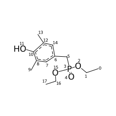 CCOP(=O)(Cc1cc(C)c(O)c(C)c1)OCC